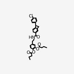 CCCC(=O)Oc1ccc(CCNC(=O)C2=C=C3CC(c4ccc(Cl)cc4)C3=CC2)cc1OC(=O)CCC